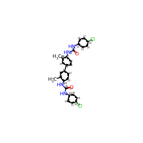 Cc1cc(-c2ccc(NC(=O)Nc3ccc(Cl)cc3)c(C)c2)ccc1NC(=O)Nc1ccc(Cl)cc1